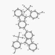 Fc1ccc(C(F)(F)F)c(-n2c3ccccc3c3ccc(-c4ccc5c6ccccc6n(-c6ccc(F)cc6C(F)(F)F)c5c4)cc32)c1